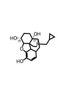 OC1=C2OC3[C@H](O)CC[C@@]4(O)C5CC(C=C1)C2C34CCN5CC1CC1